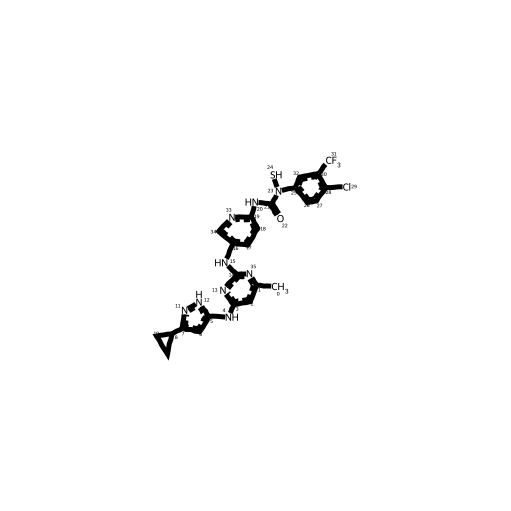 Cc1cc(Nc2cc(C3CC3)n[nH]2)nc(Nc2ccc(NC(=O)N(S)c3ccc(Cl)c(C(F)(F)F)c3)nc2)n1